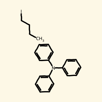 CCCCI.c1ccc(N(c2ccccc2)c2ccccc2)cc1